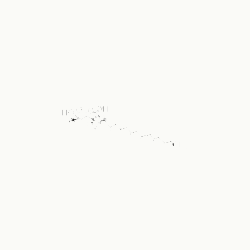 CCCCCCCCCCCCCCC1COC1(CCS(=O)(=O)O)S(=O)(=O)O